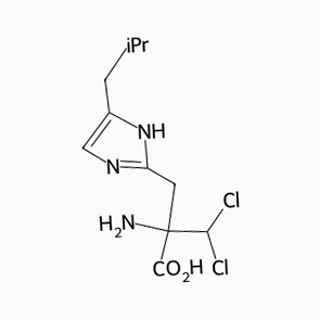 CC(C)Cc1cnc(CC(N)(C(=O)O)C(Cl)Cl)[nH]1